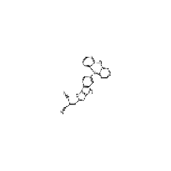 N#CC(C#N)=Cc1cc2oc3cc(N4c5ccccc5Oc5ccccc54)ccc3c2s1